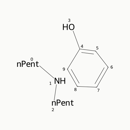 CCCCCNCCCCC.Oc1ccccc1